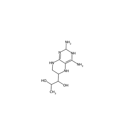 CC(O)C(O)C1CNC2=NC(N)NC(N)=C2N1